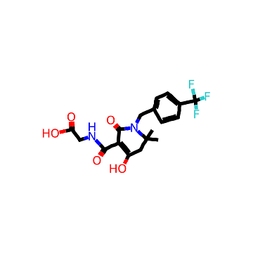 CC1(C)CC(O)=C(C(=O)NCC(=O)O)C(=O)N1Cc1ccc(C(F)(F)F)cc1